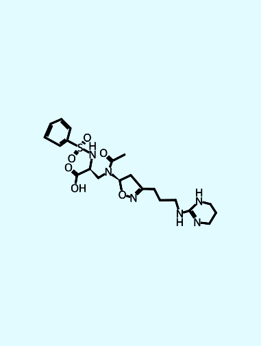 CC(=O)N(C[C@H](NS(=O)(=O)c1ccccc1)C(=O)O)[C@H]1CC(CCCNC2=NCCCN2)=NO1